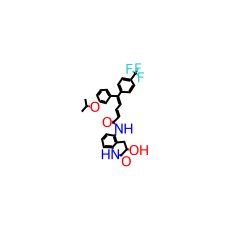 CC(C)Oc1cccc(C(=CC=CC(=O)Nc2cccc3c2CC(O)C(=O)N3)c2ccc(C(F)(F)F)cc2)c1